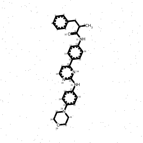 CC(Cc1ccccc1)C(=O)Nc1ccc(-c2ccnc(Nc3ccc(N4CCOCC4)cc3)n2)cc1